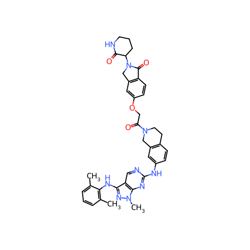 Cc1cccc(C)c1Nc1nn(C)c2nc(Nc3ccc4c(c3)CN(C(=O)COc3ccc5c(c3)CN(C3CCCNC3=O)C5=O)CC4)ncc12